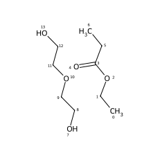 CCOC(=O)CC.OCCOCCO